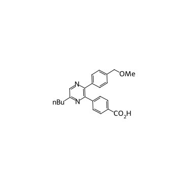 CCCCc1cnc(-c2ccc(COC)cc2)c(-c2ccc(C(=O)O)cc2)n1